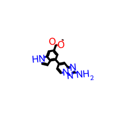 COC(=O)c1cc(-c2ccn3nc(N)nc3c2)c2cc[nH]c2c1